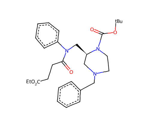 CCOC(=O)CCC(=O)N(C[C@@H]1CN(Cc2ccccc2)CCN1C(=O)OC(C)(C)C)c1ccccc1